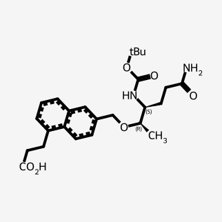 C[C@@H](OCc1ccc2c(CCC(=O)O)cccc2c1)[C@H](CCC(N)=O)NC(=O)OC(C)(C)C